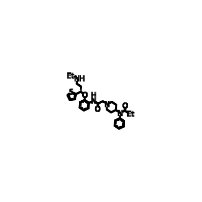 CCNCC[C@@H](Oc1ccccc1NC(=O)CN1CCC(N(C(=O)CC)c2ccccc2)CC1)c1cccs1